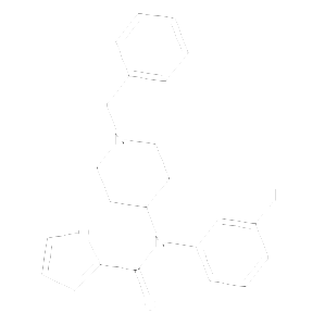 O=C(c1ccco1)N(c1cccc(F)c1)C1CCN(Cc2ccccc2)CC1